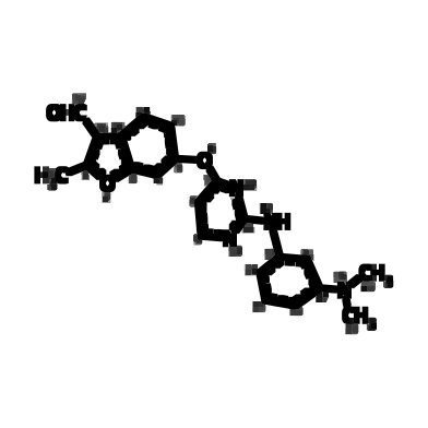 Cc1oc2cc(Oc3ccnc(Nc4cccc(N(C)C)c4)n3)ccc2c1C=O